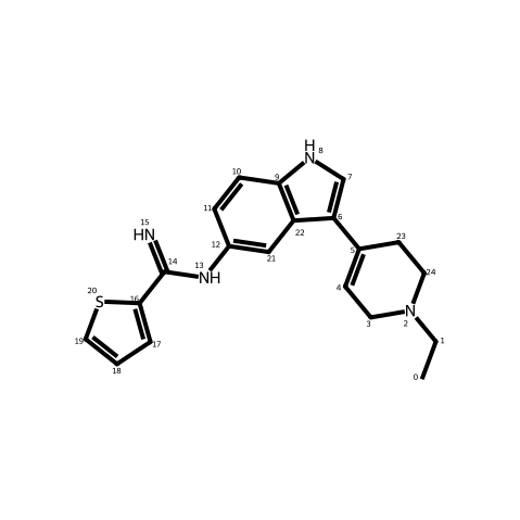 CCN1CC=C(c2c[nH]c3ccc(NC(=N)c4cccs4)cc23)CC1